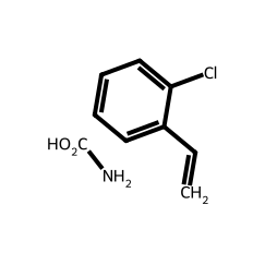 C=Cc1ccccc1Cl.NC(=O)O